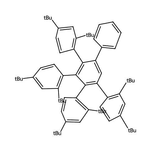 CC(C)(C)c1ccc(-c2cc(-c3ccccc3)c(-c3ccc(C(C)(C)C)cc3C(C)(C)C)c(-c3ccc(C(C)(C)C)cc3C(C)(C)C)c2-c2ccc(C(C)(C)C)cc2C(C)(C)C)c(C(C)(C)C)c1